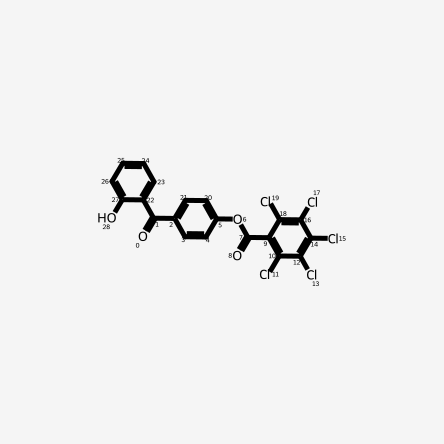 O=C(c1ccc(OC(=O)c2c(Cl)c(Cl)c(Cl)c(Cl)c2Cl)cc1)c1ccccc1O